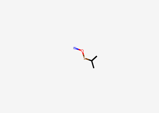 CC(C)SO[N]